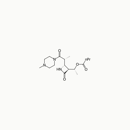 CCCC(=O)O[C@H](C)[C@H]1C(=O)N[C@@H]1[C@@H](C)C(=O)N1CCN(C)CC1